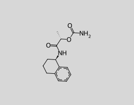 C[C@H](OC(N)=O)C(=O)N[C@@H]1CCCc2ccccc21